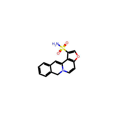 NS(=O)(=O)c1coc2c1C1=Cc3ccccc3CN1C=C2